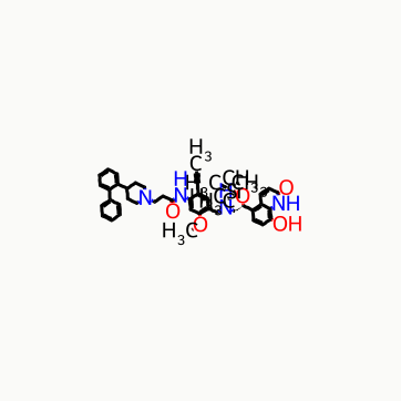 CC#Cc1cc(CNC[C@H](O[Si](C)(C)C(C)(C)C)c2ccc(O)c3[nH]c(=O)ccc23)c(OC)cc1NC(=O)CCN1CCC(c2ccccc2-c2ccccc2)CC1